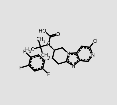 CC(C)(C)N(C(=O)O)[C@H]1Cn2c(nc3cnc(Cl)cc32)C[C@@H]1c1cc(F)c(F)cc1F